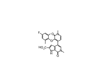 Cc1cc(F)cc(C)c1Oc1c(-c2cn(C)c(=O)c3[nH]c(C(=O)O)cc23)ccn(C)c1=O